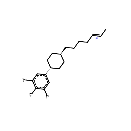 C/C=C/CCCC[C@H]1CC[C@H](c2cc(F)c(F)c(F)c2)CC1